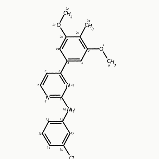 COc1cc(-c2ccnc(Nc3cccc(Cl)c3)n2)cc(OC)c1C